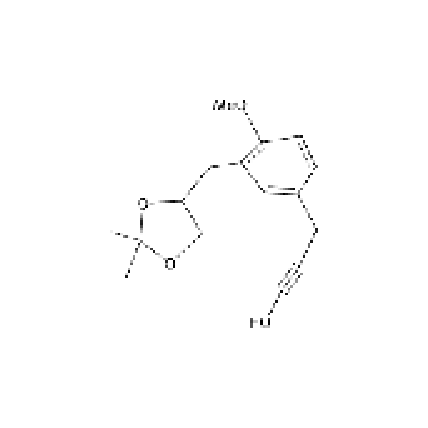 COc1ccc(CC#CO)cc1CC1COC(C)(C)O1